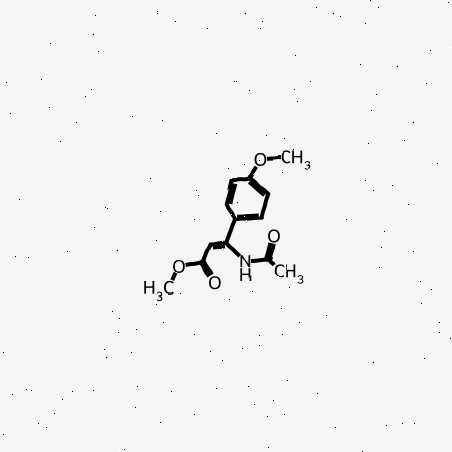 COC(=O)C=C(NC(C)=O)c1ccc(OC)cc1